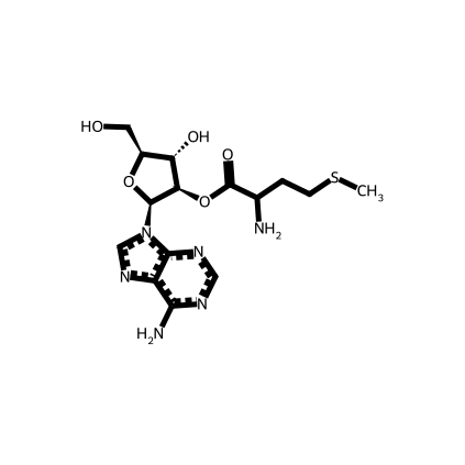 CSCCC(N)C(=O)O[C@@H]1[C@@H](O)[C@H](CO)O[C@@H]1n1cnc2c(N)ncnc21